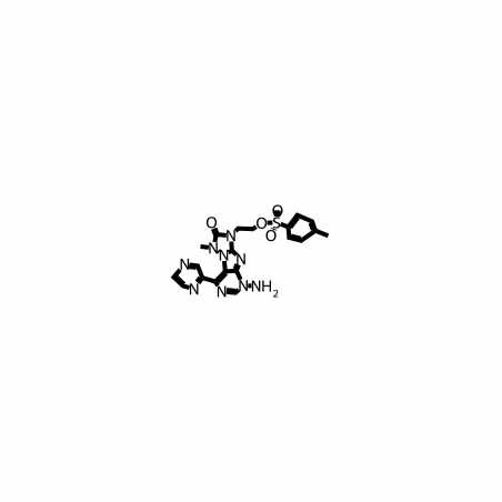 Cc1ccc(S(=O)(=O)OCCN2C(=O)N(C)N3C4=C(c5cnccn5)N=CN(N)C4=NC23)cc1